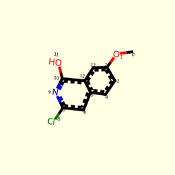 COc1ccc2cc(Cl)nc(O)c2c1